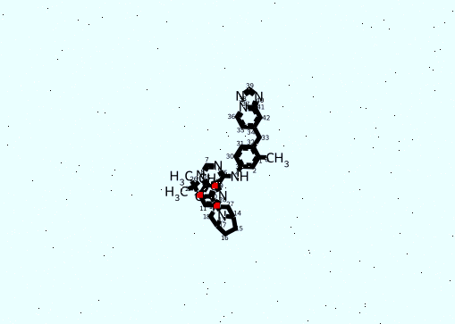 Cc1cc(Nc2ncnc3ccc(N4C5CCC4CN(C(=O)OC(C)(C)C)C5)nc23)ccc1Cc1ccn2ncnc2c1